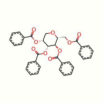 O=C(OC[C@H]1OC[C@@H](OC(=O)c2ccccc2)[C@@H](OC(=O)c2ccccc2)[C@@H]1OC(=O)c1ccccc1)c1ccccc1